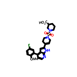 COc1ccc(F)cc1-c1ccnc2[nH]c(C3=CCN(S(=O)(=O)N4CCCC(C(=O)O)C4)CC3)cc12